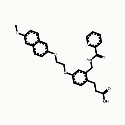 COc1ccc2cc(OCCOc3ccc(CCC(=O)O)c(CNC(=O)c4ccccn4)c3)ccc2c1